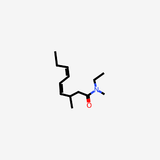 CC/C=C\C=C/C(C)CC(=O)N(C)CC